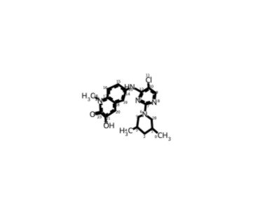 CC1CC(C)CN(c2ncc(Cl)c(Nc3ccc4c(c3)cc(O)c(=O)n4C)n2)C1